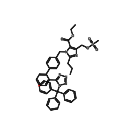 CCCc1nc(COS(C)(=O)=O)c(C(=O)OCC)n1Cc1ccc(-c2ccccc2-c2nnnn2C(c2ccccc2)(c2ccccc2)c2ccccc2)cc1